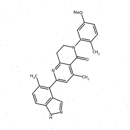 COc1ccc(C)c(N2CCc3nc(-c4c(C)ccc5[nH]ncc45)cc(C)c3C2=O)c1